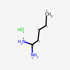 CCCCC(N)N.Cl